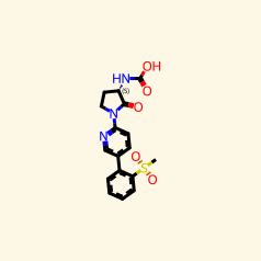 CS(=O)(=O)c1ccccc1-c1ccc(N2CC[C@H](NC(=O)O)C2=O)nc1